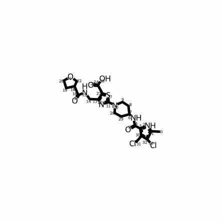 Cc1[nH]c(C(=O)NC2CCN(c3nc(CNC(=O)C4CCOC4)c(C(=O)O)s3)CC2)c(Cl)c1Cl